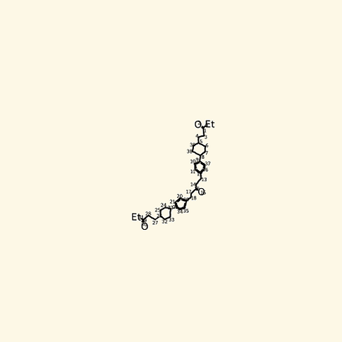 CCC(=O)CCC1CCC(c2ccc(CCC(=O)CCc3ccc([C@H]4CC[C@H](CCC(=O)CC)CC4)cc3)cc2)CC1